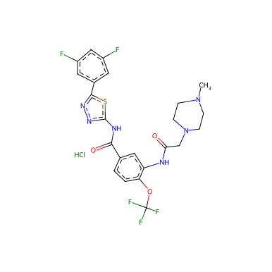 CN1CCN(CC(=O)Nc2cc(C(=O)Nc3nnc(-c4cc(F)cc(F)c4)s3)ccc2OC(F)(F)F)CC1.Cl